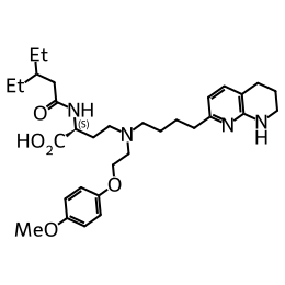 CCC(CC)CC(=O)N[C@@H](CCN(CCCCc1ccc2c(n1)NCCC2)CCOc1ccc(OC)cc1)C(=O)O